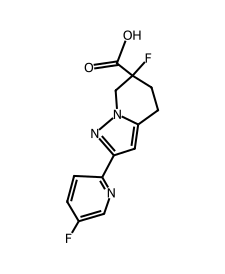 O=C(O)C1(F)CCc2cc(-c3ccc(F)cn3)nn2C1